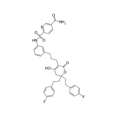 NC(=O)c1ccc(S(=O)(=O)Nc2cccc(CCCC3=C(O)CC(CCc4ccc(F)cc4)(CCc4ccc(F)cc4)OC3=O)c2)nc1